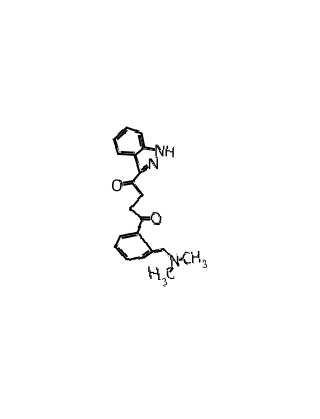 CN(C)Cc1ccccc1C(=O)CCC(=O)c1n[nH]c2ccccc12